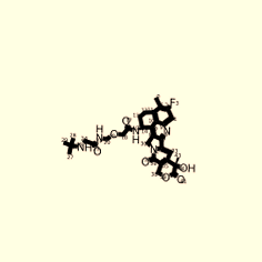 Cc1c(F)cc2nc3c(c4c2c1CC[C@@H]4NC(=O)COCNC(=O)CNC(C)(C)C)Cn1c-3cc2c(c1=O)COC(=O)[C@@]2(C)O